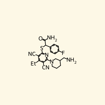 CCc1c(C#N)c(SC(C(N)=O)c2ccc(F)cc2)nc(N2CCCC(CN)C2)c1C#N